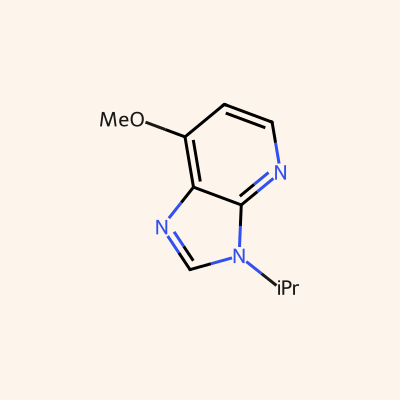 COc1ccnc2c1ncn2C(C)C